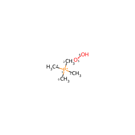 C[P+](C)(C)C.[O-]O